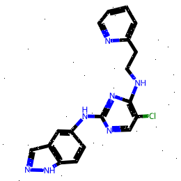 Clc1cnc(Nc2ccc3[nH]ncc3c2)nc1NCCc1ccccn1